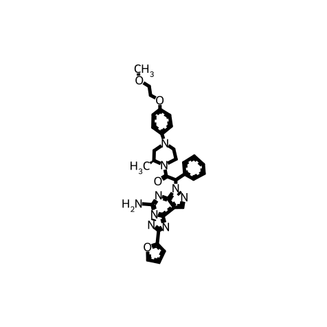 COCCOc1ccc(N2CCN(C(=O)C(c3ccccc3)n3ncc4c3nc(N)n3nc(-c5ccco5)nc43)[C@@H](C)C2)cc1